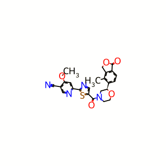 COc1cc(-c2ncc(C(=O)N3CCO[C@H](c4ccc5c(c4C)COC5=O)C3)s2)ncc1C#N